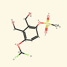 CS(=O)(=O)Oc1ccc(OC(F)F)c(CBr)c1CBr